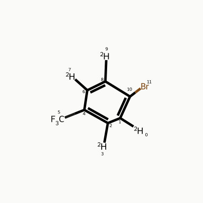 [2H]c1c([2H])c(C(F)(F)F)c([2H])c([2H])c1Br